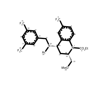 CCOC(=O)N1c2ccc(C(F)(F)F)cc2[C@@H](N(Cc2cc(C(F)(F)F)cc(C(F)(F)F)c2)C(C)=O)C[C@H]1COC